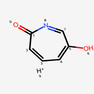 O=c1cccc(O)cn1.[H+]